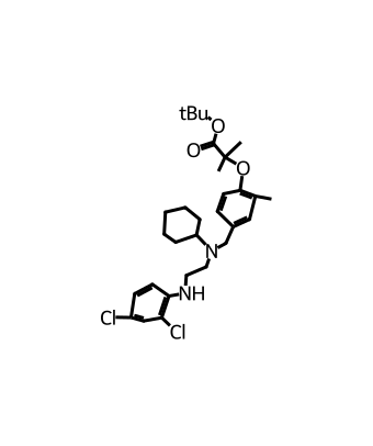 Cc1cc(CN(CCNc2ccc(Cl)cc2Cl)C2CCCCC2)ccc1OC(C)(C)C(=O)OC(C)(C)C